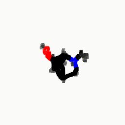 CC(=O)N1CC2C=CC1C(=O)C2